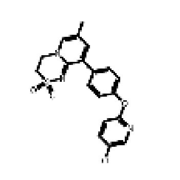 CC1=CN2CCS(=O)(=O)N=C2C(c2ccc(Oc3ccc(Cl)cn3)cc2)=C1